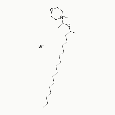 CCCCCCCCCCCCCCCC(C)OC(C)[N+]1(C)CCOCC1.[Br-]